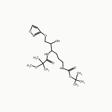 COC(C)(C)C(=O)NC(CCCNC(=O)OC(C)(C)C)C(O)COc1ccon1